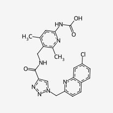 Cc1cc(NC(=O)O)nc(C)c1CNC(=O)c1cn(Cc2ccc3ccc(Cl)cc3n2)nn1